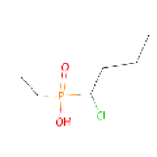 CCCC(Cl)P(=O)(O)CC